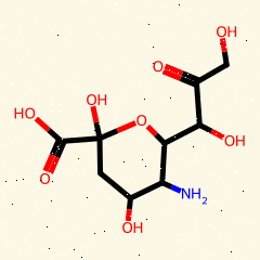 NC1C(O)CC(O)(C(=O)O)OC1C(O)C(=O)CO